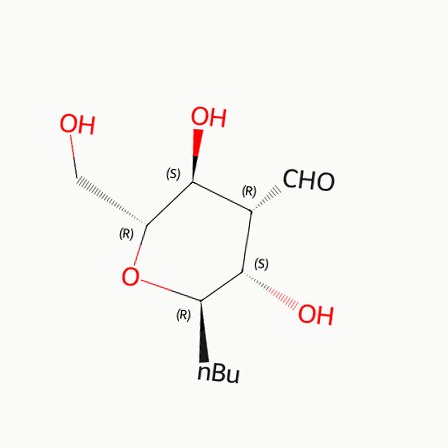 CCCC[C@H]1O[C@H](CO)[C@@H](O)[C@H](C=O)[C@@H]1O